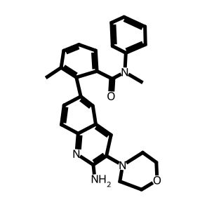 Cc1cccc(C(=O)N(C)c2ccccc2)c1-c1ccc2nc(N)c(N3CCOCC3)cc2c1